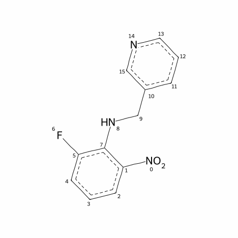 O=[N+]([O-])c1cccc(F)c1NCc1cccnc1